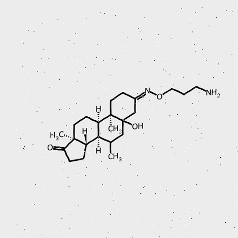 CC1CC2(O)CC(=NOCCCN)CC[C@]2(C)[C@@H]2CC[C@]3(C)C(=O)CC[C@H]3[C@H]12